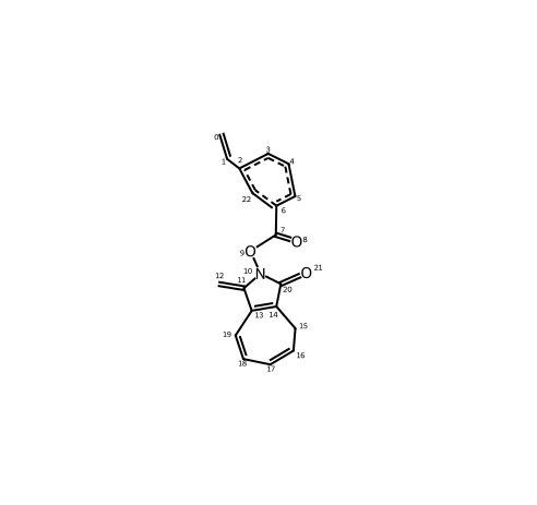 C=Cc1cccc(C(=O)ON2C(=C)C3=C(CC=CC=C3)C2=O)c1